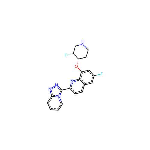 Fc1cc(O[C@H]2CCNC[C@H]2F)c2nc(-c3nnc4ccccn34)ccc2c1